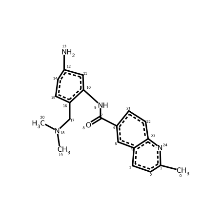 Cc1ccc2cc(C(=O)Nc3cc(N)ccc3CN(C)C)ccc2n1